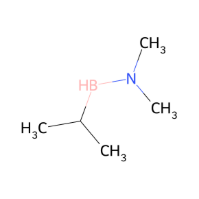 CC(C)BN(C)C